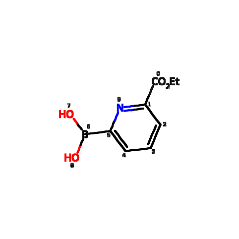 CCOC(=O)c1cccc(B(O)O)n1